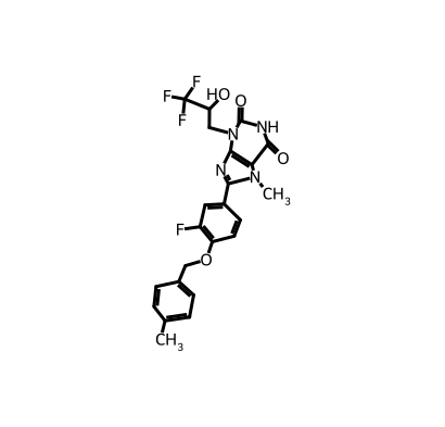 Cc1ccc(COc2ccc(-c3nc4c(c(=O)[nH]c(=O)n4CC(O)C(F)(F)F)n3C)cc2F)cc1